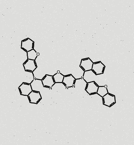 c1ccc2c(N(c3ccc4c(c3)oc3ccccc34)c3cnc4c(c3)oc3cc(N(c5ccc6c(c5)oc5ccccc56)c5cccc6ccccc56)nnc34)cccc2c1